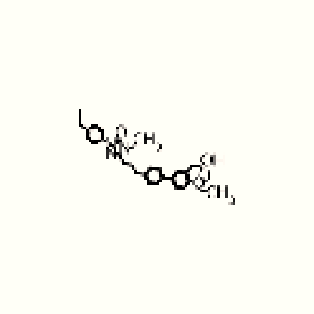 CCOc1ccc(-c2ccc(CCCc3nn(-c4ccc(CI)cc4)c(=O)n3CC)cc2)cc1CC(=O)O